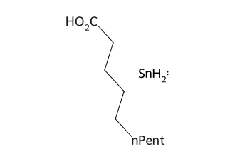 CCCCCCCCCC(=O)O.[SnH2]